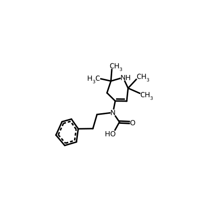 CC1(C)C=C(N(CCc2ccccc2)C(=O)O)CC(C)(C)N1